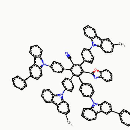 Cc1ccc2c(c1)c1ccccc1n2-c1ccc(-c2c(C#N)c(-c3ccc(-n4c5ccccc5c5cc(-c6ccccc6)ccc54)cc3)c(-c3ccc(-n4c5ccccc5c5cc(C)ccc54)cc3)c(-c3ccc(-n4c5ccccc5c5cc(-c6ccccc6)ccc54)cc3)c2-c2nc3ccccc3o2)cc1